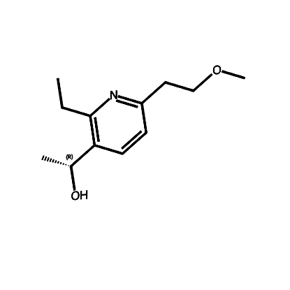 CCc1nc(CCOC)ccc1[C@@H](C)O